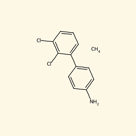 C.Nc1ccc(-c2cccc(Cl)c2Cl)cc1